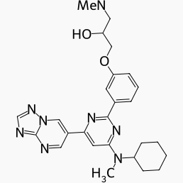 CNCC(O)COc1cccc(-c2nc(-c3cnc4ncnn4c3)cc(N(C)C3CCCCC3)n2)c1